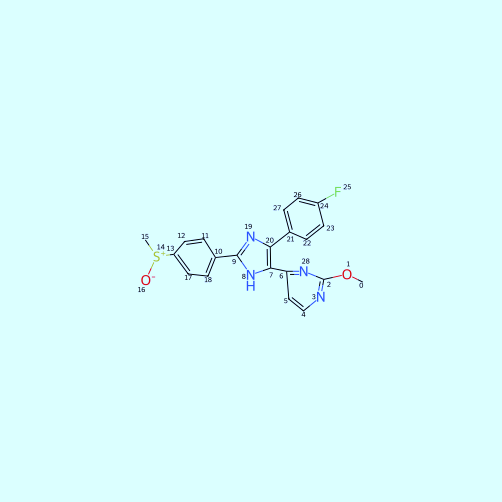 COc1nccc(-c2[nH]c(-c3ccc([S+](C)[O-])cc3)nc2-c2ccc(F)cc2)n1